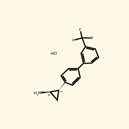 Cl.N[C@@H]1C[C@H]1c1ccc(-c2cccc(C(F)(F)F)c2)cc1